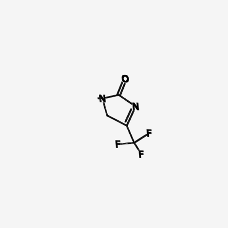 O=C1[N]CC(C(F)(F)F)=N1